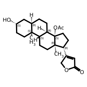 CC(=O)O[C@]12CC[C@H](C3=CC(=O)OC3)[C@@]1(C)CC[C@H]1[C@H]2CC[C@@H]2C[C@@H](O)CC[C@@]21C